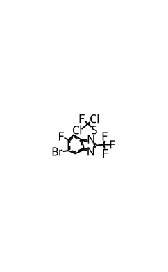 Fc1cc2c(cc1Br)nc(C(F)(F)F)n2SC(F)(Cl)Cl